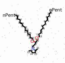 CCCCCC=CCC=CCCCCCCCCOCC(CCN1C(C)CCC1C)OCCCCCCCCC=CCC=CCCCCC